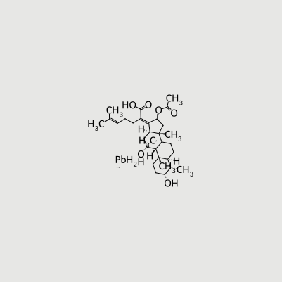 CC(=O)O[C@H]1C[C@@]2(C)[C@@H](C[C@@H](O)[C@H]3[C@@]4(C)CC[C@@H](O)[C@@H](C)[C@@H]4CC[C@@]32C)/C1=C(\CCC=C(C)C)C(=O)O.[PbH2]